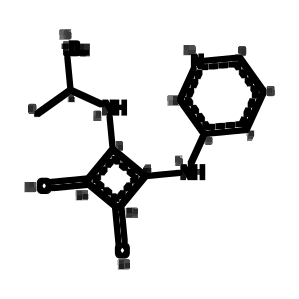 CC(Nc1c(Nc2cccnc2)c(=O)c1=O)C(C)(C)C